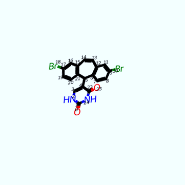 O=c1[nH]cc(C2c3ccc(Br)cc3C=Cc3cc(Br)ccc32)c(=O)[nH]1